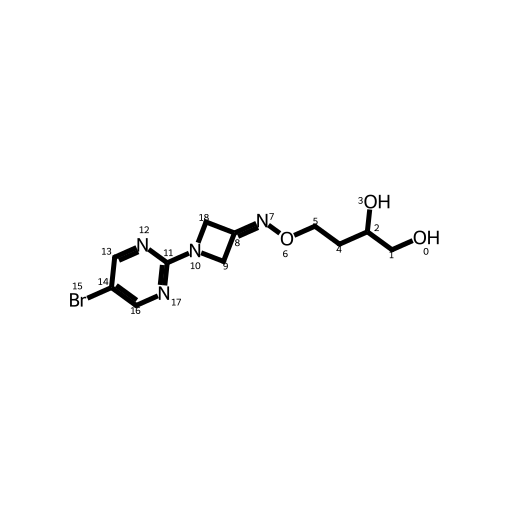 OCC(O)CCON=C1CN(c2ncc(Br)cn2)C1